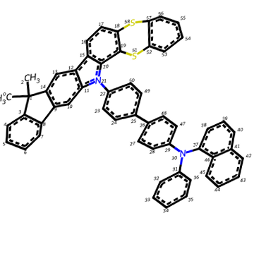 CC1(C)c2ccccc2-c2cc3c(cc21)c1ccc2c(c1n3-c1ccc(-c3ccc(N(c4ccccc4)c4cccc5ccccc45)cc3)cc1)Sc1ccccc1S2